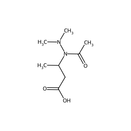 CC(=O)N(C(C)CC(=O)O)N(C)C